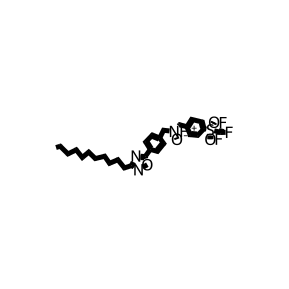 CCCCCCCCCCCc1noc(-c2ccc(C[NH+]([O-])Cc3ccc(S(=O)(=O)C(F)(F)F)cc3)cc2)n1